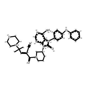 CC(C)(C=C(C#N)C(=O)N1CCC[C@H](n2c(=O)n(-c3ccc(Oc4ccccc4)cc3)c3c(N)ncnc32)C1)N1CCOCC1